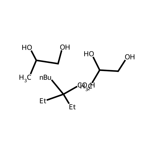 CC(O)CO.CC(O)CO.CCCCC(CC)(CC)C(=O)O